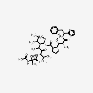 CC[C@H](C)[C@@H]([C@@H](CC(=O)N1CCC[C@H]1[C@H](OC)[C@@H](C)C(=O)N[C@@H](Cc1ccccc1)c1nccs1)OC)N(C)C(=O)[C@@H](NC(=O)C(C)(C)NC(=O)O)C(C)C